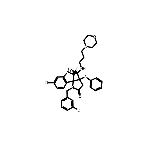 O=C1CC(Sc2ccccc2)(C(=O)NCCCN2CCOCC2)C2(C(=O)Nc3cc(Cl)ccc32)N1Cc1cccc(Cl)c1